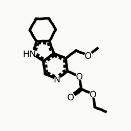 CCOC(=O)Oc1ncc2[nH]c3c(c2c1COC)CCCC3